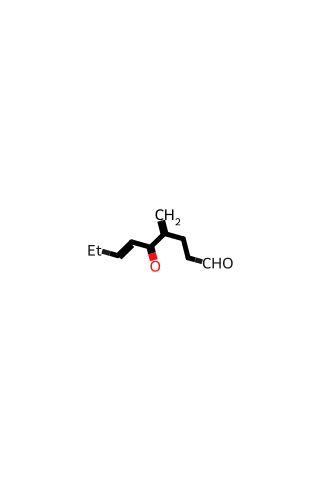 C=C(CCC=O)C(=O)C=CCC